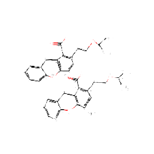 CC(C)OCCc1ccc2c(c1C(=O)[O-])Cc1ccccc1O2.CC(C)OCCc1ccc2c(c1C(=O)[O-])Cc1ccccc1O2.[Ni+2]